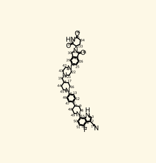 N#Cc1c[nH]c2c(N3CCC(c4ccc(N5CCC(CN6CCN(c7ccc8c(c7)CN(C7CCC(=O)NC7=O)C8=O)CC6)CC5)cc4)CC3)ccc(F)c12